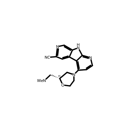 CNC[C@@H]1CN(c2ccnc3[nH]c4cnc(C#N)cc4c23)CCO1